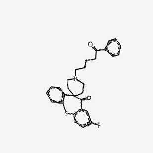 O=C(CCCCN1CCC2(CC1)C(=O)c1cc(F)ccc1Sc1ccccc12)c1ccccc1